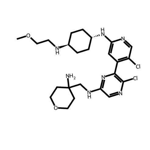 COCCN[C@H]1CC[C@H](Nc2cc(-c3nc(NCC4(N)CCOCC4)cnc3Cl)c(Cl)cn2)CC1